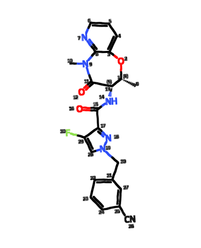 C[C@H]1Oc2cccnc2N(C)C(=O)[C@H]1NC(=O)c1nn(Cc2cccc(C#N)c2)cc1F